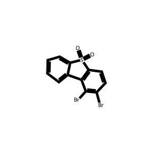 O=S1(=O)c2ccccc2-c2c1ccc(Br)c2Br